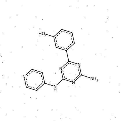 Nc1nc(Nc2ccncc2)nc(-c2cccc(O)c2)n1